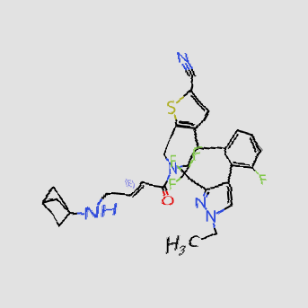 CCn1cc(-c2c(F)cccc2C2CN(C(=O)/C=C/CNC34CC(C3)C4)Cc3sc(C#N)cc32)c(C(F)(F)F)n1